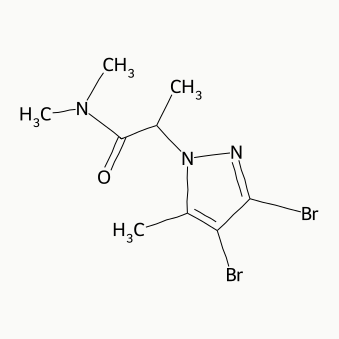 Cc1c(Br)c(Br)nn1C(C)C(=O)N(C)C